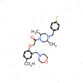 CC1CN(C(=O)COc2ccc(C(=O)O)cc2CN2CCOCC2)C(C)CN1Cc1ccc(F)cc1